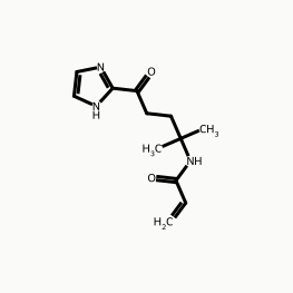 C=CC(=O)NC(C)(C)CCC(=O)c1ncc[nH]1